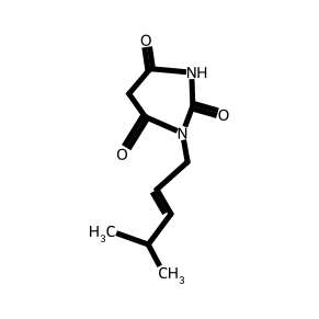 CC(C)C=CCN1C(=O)CC(=O)NC1=O